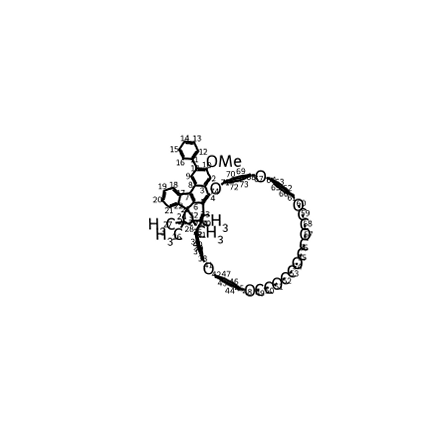 COc1cc2c3c(c4c(c2cc1-c1ccccc1)-c1ccccc1C41CC(C)(C)CC(C)(C)C1)/C=C\c1ccc(cc1)Oc1ccc(cc1)OCCOCCOCCOCCOc1ccc(cc1)Oc1ccc(cc1)O3